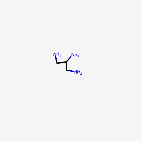 NC[C](N)CN